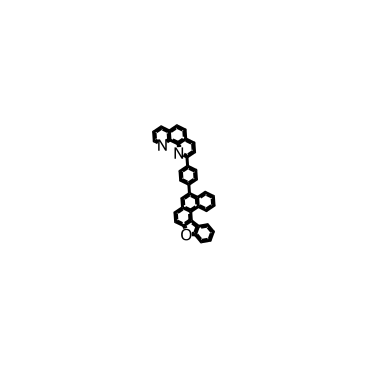 c1cnc2c(c1)ccc1ccc(-c3ccc(-c4cc5ccc6oc7ccccc7c6c5c5ccccc45)cc3)nc12